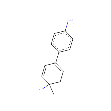 CC1(N)C=CC(c2ccc(N)cc2)=CC1